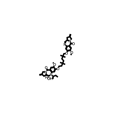 C=C1CC2C=Nc3cc(OCC(C)(C)CCC(C)(C)CCOc4cc5c(cc4OC)C(=O)N4CC(=C)C[C@H]4[C@H](O)N5C(C)CC)c(OC)cc3C(=O)N2C1